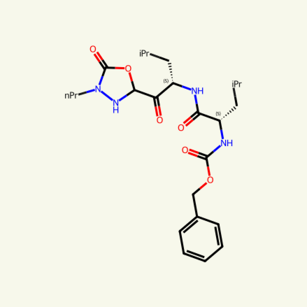 CCCN1NC(C(=O)[C@H](CC(C)C)NC(=O)[C@H](CC(C)C)NC(=O)OCc2ccccc2)OC1=O